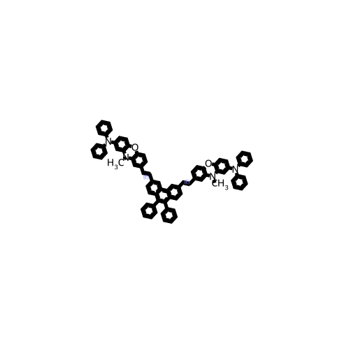 CN1c2cc(/C=C/c3ccc4c(-c5ccccc5)c(-c5ccccc5)c5ccc(/C=C/c6ccc7c(c6)N(C)c6cc(N(c8ccccc8)c8ccccc8)ccc6O7)cc5c4c3)ccc2Oc2ccc(N(c3ccccc3)c3ccccc3)cc21